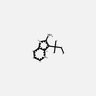 CCC(C)(C)c1c(N)sc2cccnc12